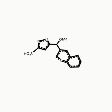 COC(c1ccc2ccccc2c1)c1cc(C(=O)O)no1